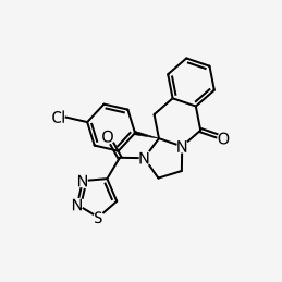 O=C(c1csnn1)N1CCN2C(=O)c3ccccc3C[C@@]12c1ccc(Cl)cc1